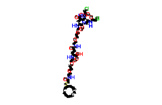 O=C(O)CC[C@@H](NC(=O)COCCOCCNC(=O)CCC(NC(=O)COCCOCCNC(=O)CSC1CCCCCCCCCCC1)C(=O)O)C(=O)N(CCNC(=O)CCl)CCNC(=O)CCl